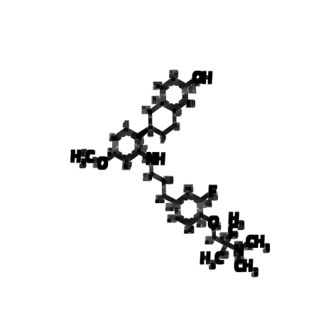 COc1ccc([C@@H]2CCc3cc(O)ccc3C2)c(NCCCc2ccc(OCC(C)(C)N(C)C)c(F)c2)c1